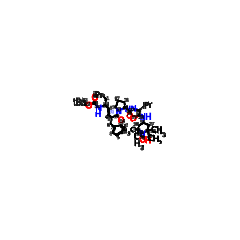 CC(C)C[C@@H](/C=C/[C@H](Cc1ccccc1)C(=O)N1CCC[C@H]1C(=O)N[C@H](C(=O)NC1CC(C)(C)N(O)C(C)(C)C1)C(C)C)NC(=O)OC(C)(C)C